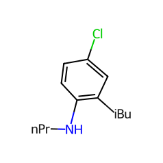 CCCNc1ccc(Cl)cc1C(C)CC